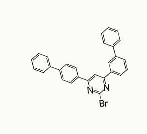 Brc1nc(-c2ccc(-c3ccccc3)cc2)cc(-c2cccc(-c3ccccc3)c2)n1